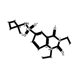 CCn1c(=O)c2cc(S(=O)(=O)NC3(C)CCC3)ccc2n(CC)c1=O